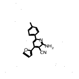 Cc1ccc(-c2cc(-c3ccco3)c(C#N)c(N)n2)cc1